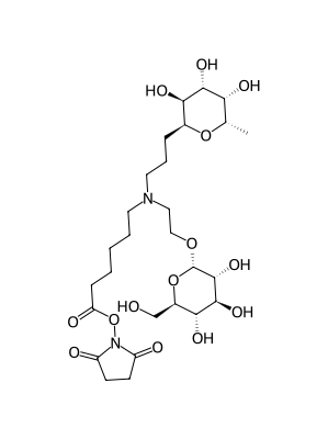 C[C@@H]1O[C@@H](CCCN(CCCCCC(=O)ON2C(=O)CCC2=O)CCO[C@H]2O[C@H](CO)[C@@H](O)[C@H](O)[C@H]2O)[C@@H](O)[C@H](O)[C@@H]1O